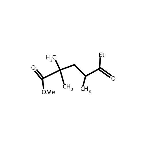 CCC(=O)C(C)CC(C)(C)C(=O)OC